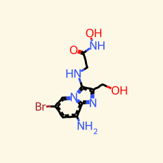 Nc1cc(Br)cn2c(NCC(=O)NO)c(CO)nc12